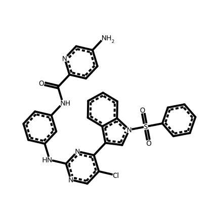 Nc1ccc(C(=O)Nc2cccc(Nc3ncc(Cl)c(-c4cn(S(=O)(=O)c5ccccc5)c5ccccc45)n3)c2)nc1